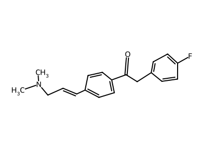 CN(C)CC=Cc1ccc(C(=O)Cc2ccc(F)cc2)cc1